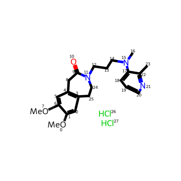 COc1cc2c(cc1OC)CC(=O)N(CCCN(C)c1cccnc1C)CC2.Cl.Cl